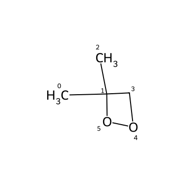 CC1(C)COO1